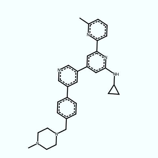 Cc1cccc(-c2cc(-c3cncc(-c4ccc(CN5CCN(C)CC5)cc4)c3)cc(NC3CC3)n2)n1